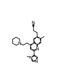 Cc1cc2nc(-c3cncn3C)cc(CCN3CCCCC3)c2cc1CCC#N